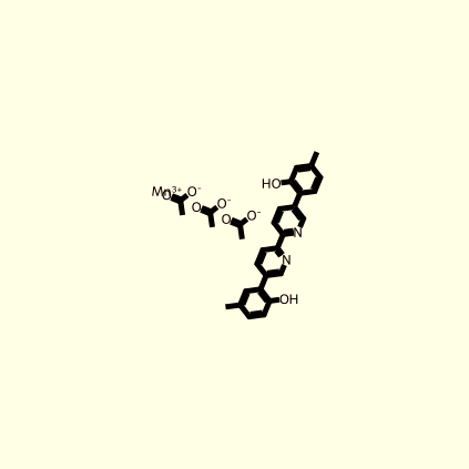 CC(=O)[O-].CC(=O)[O-].CC(=O)[O-].Cc1ccc(-c2ccc(-c3ccc(-c4cc(C)ccc4O)cn3)nc2)c(O)c1.[Mn+3]